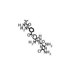 CC(C)N(N)C(=O)N(N)c1cccc(C(=O)N2CCC3(CC2)CN/C(=N\C(=O)c2nc(Cl)c(N)nc2N)N3N)c1